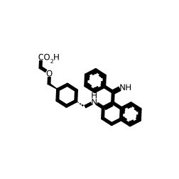 N=C(C1=C(NC[C@H]2CC[C@H](COCC(=O)O)CC2)CCc2ccccc21)c1ccccc1